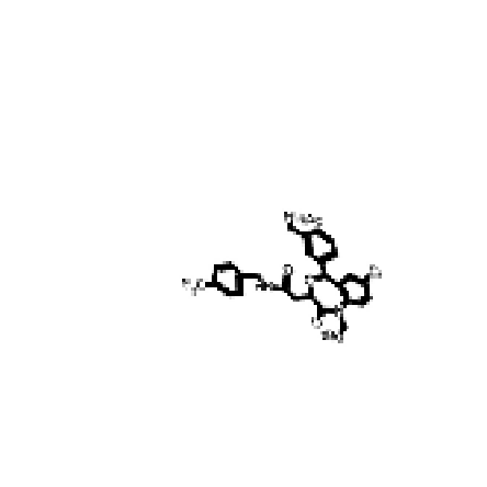 CC(=O)NCc1cccc(C2OC(CC(=O)NCc3ccc(C(F)(F)F)cc3)C(=O)N(CC(C)(C)C)c3ccc(Cl)cc32)c1